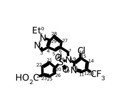 CCn1ncc2cc(CN(c3ncc(C(F)(F)F)cc3Cl)S(=O)(=O)c3ccc(C(=O)O)cc3)ccc21